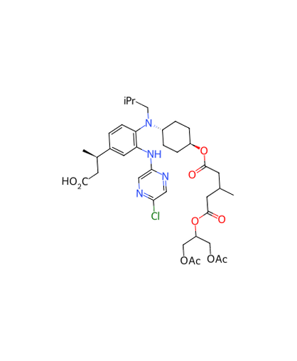 CC(=O)OCC(COC(C)=O)OC(=O)CC(C)CC(=O)O[C@H]1CC[C@H](N(CC(C)C)c2ccc([C@H](C)CC(=O)O)cc2Nc2cnc(Cl)cn2)CC1